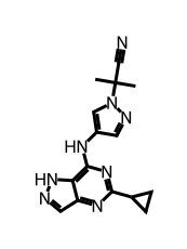 CC(C)(C#N)n1cc(Nc2nc(C3CC3)nc3cn[nH]c23)cn1